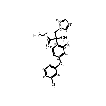 COC(=O)C(O)(Cn1cncn1)c1ccc(Oc2cccc(Cl)c2)cc1Cl